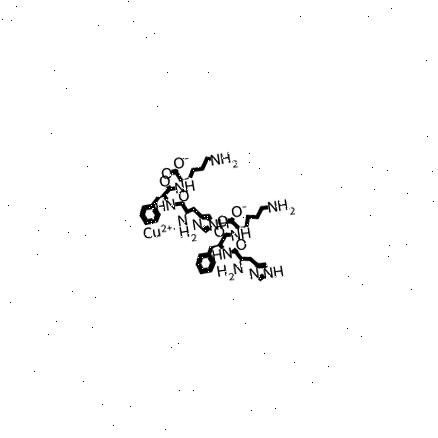 NCCCC[C@H](NC(=O)[C@H](Cc1ccccc1)NC(=O)[C@@H](N)Cc1c[nH]cn1)C(=O)[O-].NCCCC[C@H](NC(=O)[C@H](Cc1ccccc1)NC(=O)[C@@H](N)Cc1c[nH]cn1)C(=O)[O-].[Cu+2]